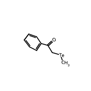 C[Te]CC(=O)c1ccccc1